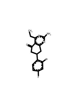 CCc1nc(N)nc2c1C(=O)CC(c1ccc(F)cc1Br)C2